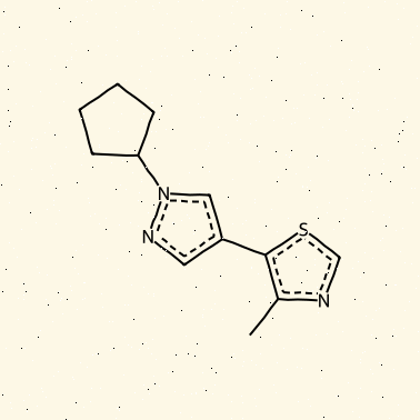 Cc1ncsc1-c1cnn(C2CCCC2)c1